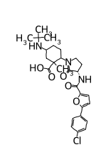 CC(C)(C)NC1CCC(N2CC[C@H](NC(=O)c3ccc(-c4ccc(Cl)cc4)o3)C2=O)C(C)(C(=O)O)C1